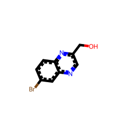 OCc1cnc2cc(Br)ccc2n1